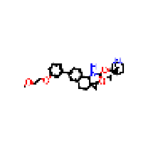 COCCOc1cccc(-c2ccc3c(c2)CCC2(CC2)C3NC(=O)O[C@H]2CN3CCC2CC3)c1